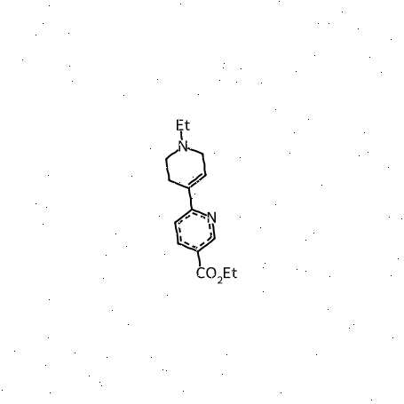 CCOC(=O)c1ccc(C2=CCN(CC)CC2)nc1